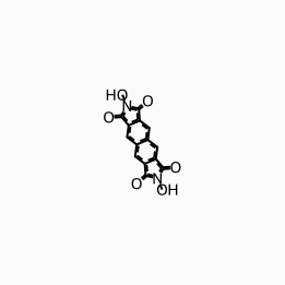 O=c1c2cc3cc4c(=O)n(O)c(=O)c4cc3cc2c(=O)n1O